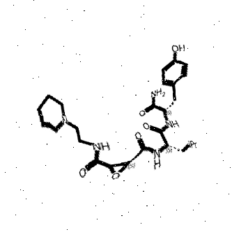 CC(C)C[C@H](NC(=O)[C@H]1OC1C(=O)NCCN1CCCCC1)C(=O)N[C@@H](Cc1ccc(O)cc1)C(N)=O